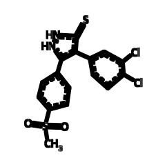 CS(=O)(=O)c1ccc(-c2[nH][nH]c(=S)c2-c2ccc(Cl)c(Cl)c2)cc1